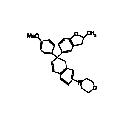 COc1ccc(C2(c3ccc4c(c3)CC(C)O4)C=Cc3ccc(N4CCOCC4)cc3C2)cc1